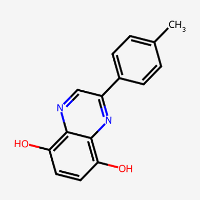 Cc1ccc(-c2cnc3c(O)ccc(O)c3n2)cc1